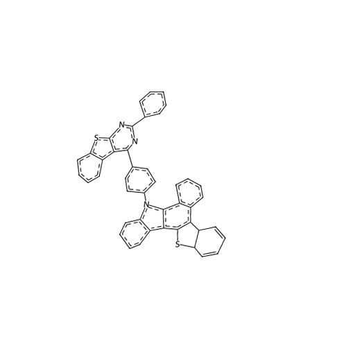 C1=CC2Sc3c(c4ccccc4c4c3c3ccccc3n4-c3ccc(-c4nc(-c5ccccc5)nc5sc6ccccc6c45)cc3)C2C=C1